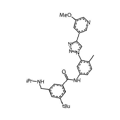 COc1cncc(-c2cn(-c3cc(NC(=O)c4cc(CNC(C)C)cc(C(C)(C)C)c4)ccc3C)nn2)c1